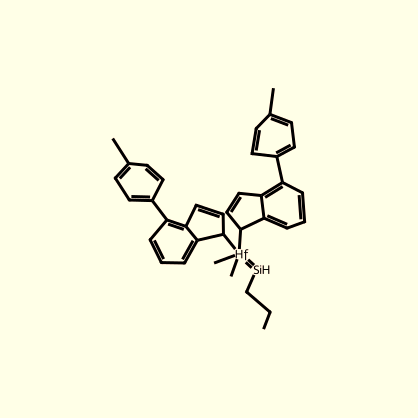 CCC[SiH]=[Hf]([CH3])([CH3])([CH]1C=Cc2c(-c3ccc(C)cc3)cccc21)[CH]1C=Cc2c(-c3ccc(C)cc3)cccc21